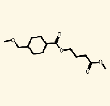 COCC1CCC(C(=O)OCCCC(=O)OC)CC1